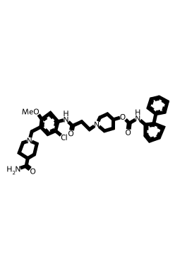 COc1cc(NC(=O)CCN2CCC(OC(=O)Nc3ccccc3-c3ccccc3)CC2)c(Cl)cc1CN1CCC(C(N)=O)CC1